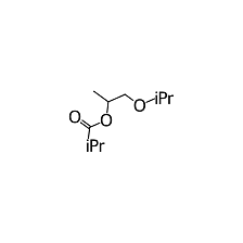 CC(C)OCC(C)OC(=O)C(C)C